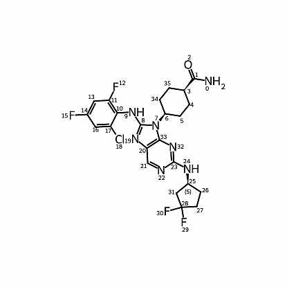 NC(=O)[C@H]1CC[C@@H](n2c(Nc3c(F)cc(F)cc3Cl)nc3cnc(N[C@H]4CCC(F)(F)C4)nc32)CC1